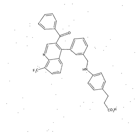 O=C(O)CCc1ccc(NCc2cccc(-c3c(C(=O)c4ccccc4)cnc4c(C(F)(F)F)cccc34)c2)cc1